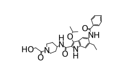 CCc1cc2[nH]c(C(=O)NC3CCN(C(=O)CO)CC3)c(OC(C)C)c2cc1NC(=O)c1ccccc1